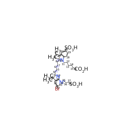 CC1(C)C(/C=C/C=C/C=C2\N(CCCCCC(=O)O)c3ccc(S(=O)(=O)O)cc3C2(C)C)=Nc2c1cc(Br)c[n+]2CCCS(=O)(=O)O